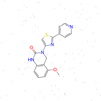 COc1cccc2c1CN(c1csc(-c3ccncc3)n1)C(=O)N2